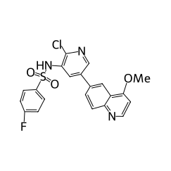 COc1ccnc2ccc(-c3cnc(Cl)c(NS(=O)(=O)c4ccc(F)cc4)c3)cc12